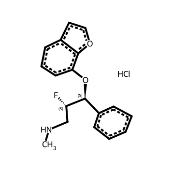 CNC[C@H](F)[C@@H](Oc1cccc2ccoc12)c1ccccc1.Cl